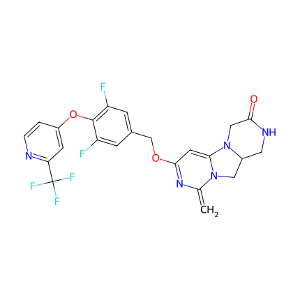 C=C1N=C(OCc2cc(F)c(Oc3ccnc(C(F)(F)F)c3)c(F)c2)C=C2N1CC1CNC(=O)CN21